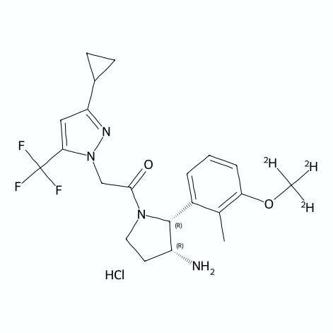 Cl.[2H]C([2H])([2H])Oc1cccc([C@@H]2[C@H](N)CCN2C(=O)Cn2nc(C3CC3)cc2C(F)(F)F)c1C